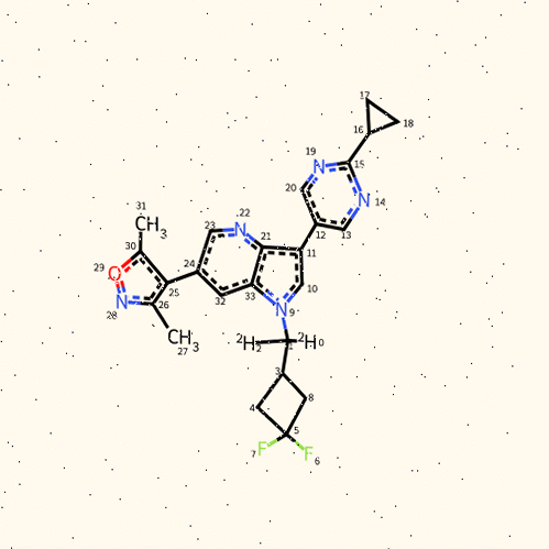 [2H]C([2H])(C1CC(F)(F)C1)n1cc(-c2cnc(C3CC3)nc2)c2ncc(-c3c(C)noc3C)cc21